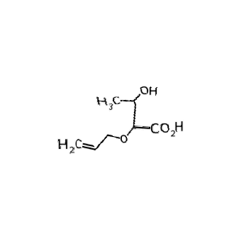 C=CCOC(C(=O)O)C(C)O